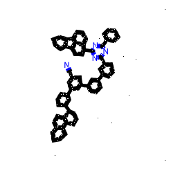 N#Cc1cc(-c2cccc(-c3cccc(-c4nc(-c5ccccc5)nc(-c5ccc6c7c(cccc57)-c5ccccc5-6)n4)c3)c2)cc(-c2cccc(-c3cccc4c3ccc3ccccc34)c2)c1